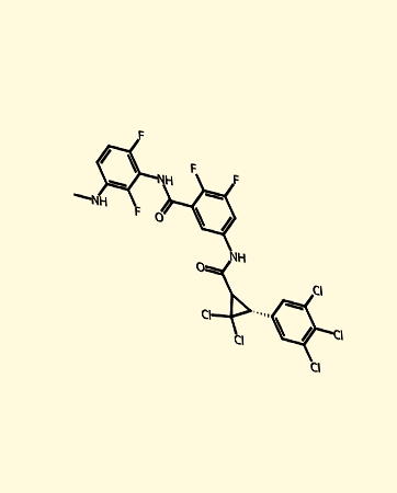 CNc1ccc(F)c(NC(=O)c2cc(NC(=O)C3[C@H](c4cc(Cl)c(Cl)c(Cl)c4)C3(Cl)Cl)cc(F)c2F)c1F